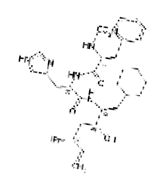 C=C[C@@H](C[C@@H](O)[C@H](CC1CCCCC1)NC(=O)[C@H](Cc1c[nH]cn1)NC(=O)[C@H](Cc1ccccc1)NC(=O)O)C(C)C